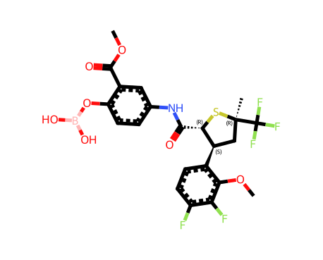 COC(=O)c1cc(NC(=O)[C@@H]2S[C@@](C)(C(F)(F)F)C[C@H]2c2ccc(F)c(F)c2OC)ccc1OB(O)O